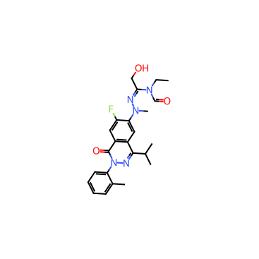 CCN(C=O)/C(CO)=N\N(C)c1cc2c(C(C)C)nn(-c3ccccc3C)c(=O)c2cc1F